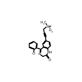 C[SiH](C)CC#Cc1ccc2c(c1)C(c1ccccc1Cl)=NCC(=O)N2